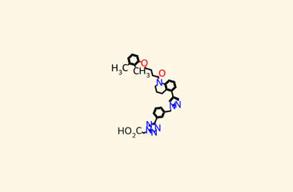 Cc1cccc(OCCCC(=O)N2CCCc3c(-c4cnn(Cc5cccc(-c6nnn(CC(=O)O)n6)c5)c4)cccc32)c1C